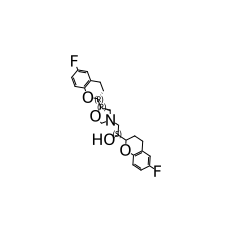 O[C@@H](CN1CO[C@@H]([C@H]2CCc3cc(F)ccc3O2)C1)C1CCc2cc(F)ccc2O1